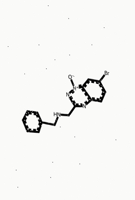 [O-][n+]1nc(CNCc2ccccc2)nc2ccc(Br)cc21